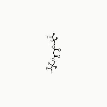 O=C(CC(=O)OCC(F)(F)C(F)F)OCC(F)(F)C(F)F